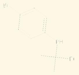 CCC(C)(C)Pc1ccc(Br)cc1